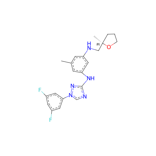 Cc1cc(NC[C@@]2(C)CCCO2)cc(Nc2ncn(-c3cc(F)cc(F)c3)n2)c1